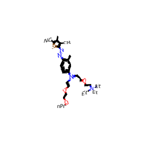 CCCOCCOCCN(CCOCC[N+](CC)(CC)CC)c1ccc(/N=N/c2sc(C#N)c(C)c2C#N)c(C)c1